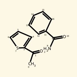 CC(=O)c1cccs1.NC(=O)c1ccccc1